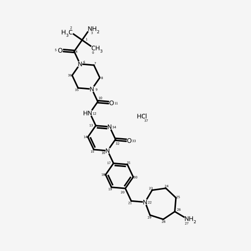 CC(C)(N)C(=O)N1CCN(C(=O)Nc2ccn(-c3ccc(CN4CCCC(N)CC4)cc3)c(=O)n2)CC1.Cl